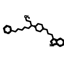 CCCC(CCCCCc1ccccc1)N1CCN(CCCc2c[nH]c3ccccc23)CC1